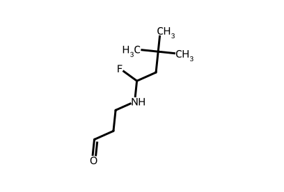 CC(C)(C)CC(F)NCCC=O